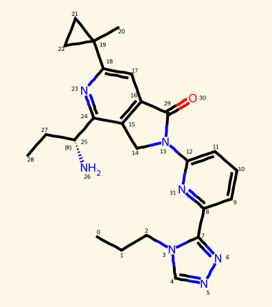 CCCn1cnnc1-c1cccc(N2Cc3c(cc(C4(C)CC4)nc3[C@H](N)CC)C2=O)n1